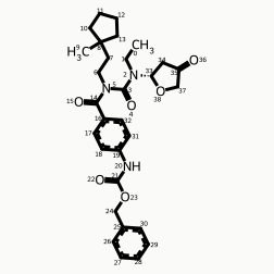 CCN(C(=O)N(CCC1(C)CCCC1)C(=O)c1ccc(NC(=O)OCc2ccccc2)cc1)[C@@H]1CC(=O)CO1